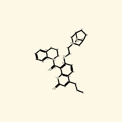 CCCc1cc(=O)oc2c(C(=O)N3CCCc4ccccc43)c(OCCN3CC4CCC(C3)N4C)ccc12